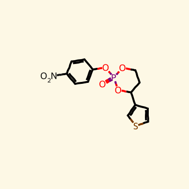 O=[N+]([O-])c1ccc(OP2(=O)OCCC(c3ccsc3)O2)cc1